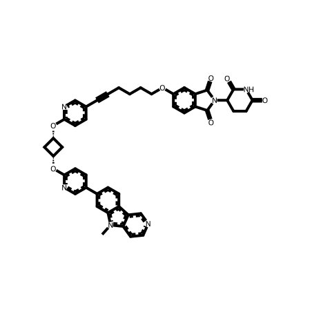 Cn1c2ccncc2c2ccc(-c3ccc(O[C@H]4C[C@@H](Oc5ccc(C#CCCCCOc6ccc7c(c6)C(=O)N(C6CCC(=O)NC6=O)C7=O)cn5)C4)nc3)cc21